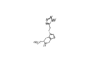 O=C(O)C1Cc2c(CCc3nnn[nH]3)csc2CN1